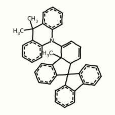 CC1(C)c2ccccc2N(C2=CC=CC3C2(C)c2ccccc2C32c3ccccc3-c3ccccc32)c2ccccc21